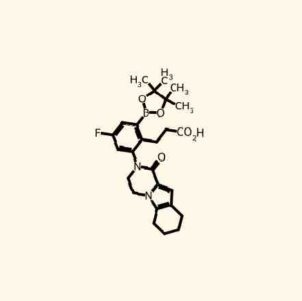 CC1(C)OB(c2cc(F)cc(N3CCn4c(cc5c4CCCC5)C3=O)c2CCC(=O)O)OC1(C)C